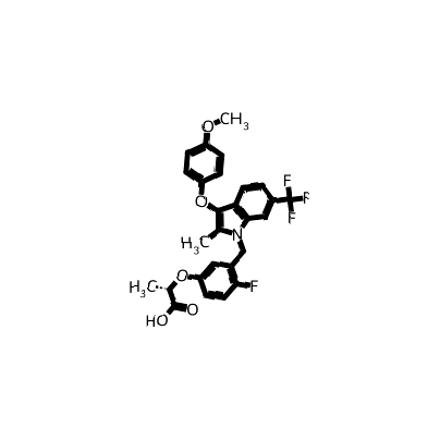 COc1ccc(Oc2c(C)n(Cc3cc(O[C@@H](C)C(=O)O)ccc3F)c3cc(C(F)(F)F)ccc23)cc1